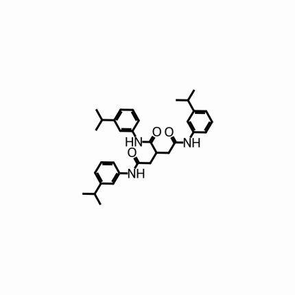 CC(C)c1cccc(NC(=O)CC(CC(=O)Nc2cccc(C(C)C)c2)C(=O)Nc2cccc(C(C)C)c2)c1